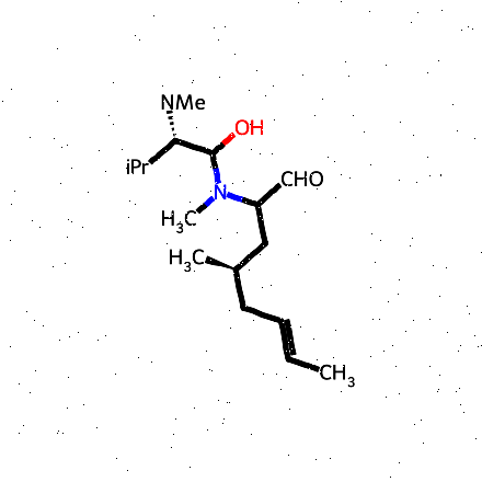 C/C=C/C[C@@H](C)CC(C=O)N(C)C(O)[C@@H](NC)C(C)C